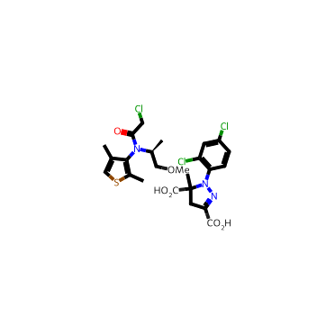 CC1(C(=O)O)CC(C(=O)O)=NN1c1ccc(Cl)cc1Cl.COC[C@H](C)N(C(=O)CCl)c1c(C)csc1C